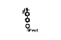 CCCCC[C@H]1CC[C@H](c2ccc(-c3ccc(C(C)(F)F)c(F)c3)cc2)CC1